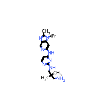 Cc1nc2cnc(Nc3ccnc(NCC(C)(C)CN)n3)cc2n1C(C)C